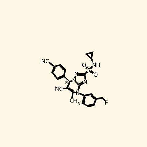 CC1=C(C#N)[C@@H](c2ccc(C#N)cc2)n2nc(S(=O)(=O)NC3CC3)nc2N1c1cccc(CF)c1